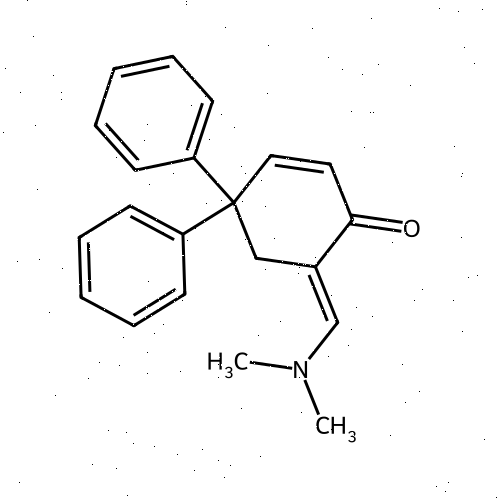 CN(C)C=C1CC(c2ccccc2)(c2ccccc2)C=CC1=O